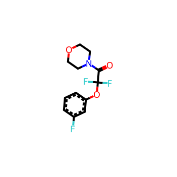 O=C(N1CCOCC1)C(F)(F)Oc1cccc(F)c1